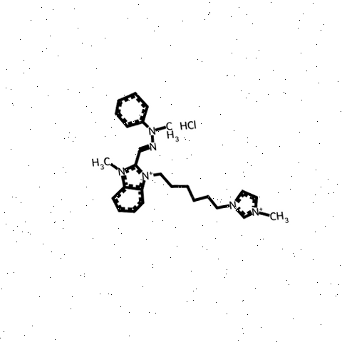 CN(N=Cc1n(C)c2ccccc2[n+]1CCCCCCn1cc[n+](C)c1)c1ccccc1.Cl